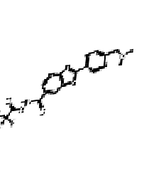 CN(C)Cc1ccc(-c2nc3ccc(C(=O)NOC(=O)C(F)(F)F)cc3s2)cc1